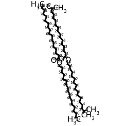 CC(C)CCCCCCCCCCCCCCCOC(=O)CCCCCCCCCCCCCCC(C)C.CCCCCCCCCCCCCCCCCCOC(=O)CCCCCCCCCCCCCCCCC